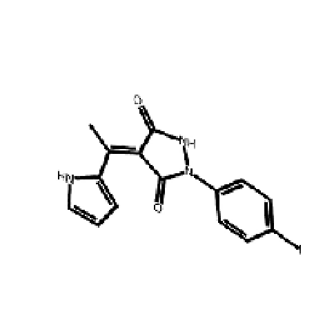 CC(=C1C(=O)NN(c2ccc(I)cc2)C1=O)c1ccc[nH]1